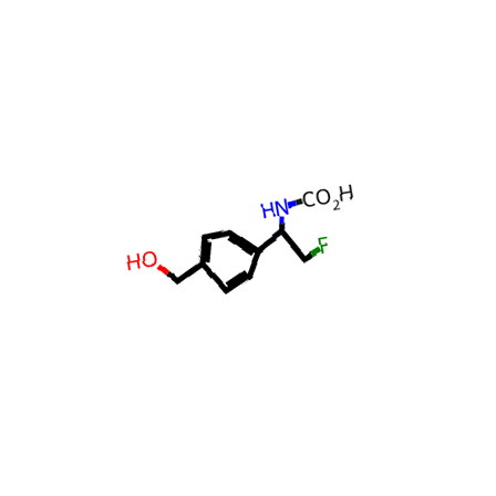 O=C(O)NC(CF)c1ccc(CO)cc1